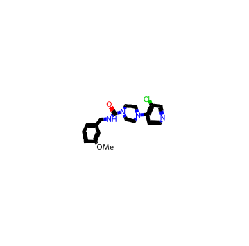 COc1cccc(CNC(=O)N2CCN(c3ccncc3Cl)CC2)c1